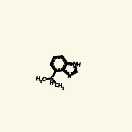 C[SH](C)c1cccc2[nH]cnc12